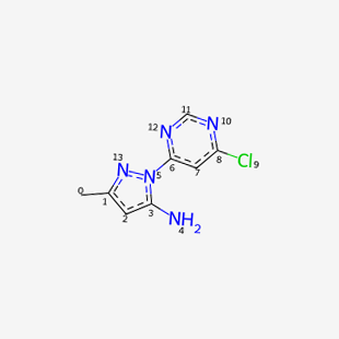 Cc1cc(N)n(-c2cc(Cl)ncn2)n1